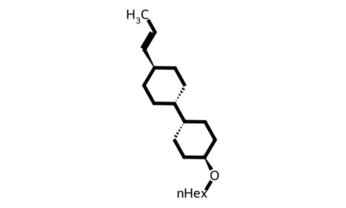 CC=C[C@H]1CC[C@H]([C@H]2CC[C@H](OCCCCCC)CC2)CC1